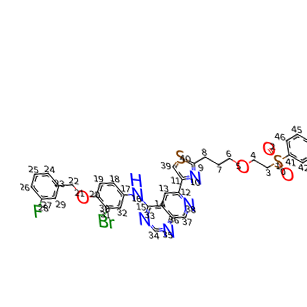 O=S(=O)(CCOCCCc1nc(-c2cc3c(Nc4ccc(OCc5cccc(F)c5)c(Br)c4)ncnc3cn2)cs1)c1ccccc1